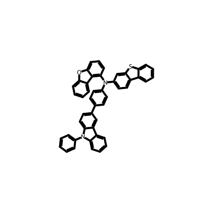 c1ccc(-n2c3ccccc3c3cc(-c4ccc(N(c5ccc6c(c5)sc5ccccc56)c5cccc6oc7ccccc7c56)cc4)ccc32)cc1